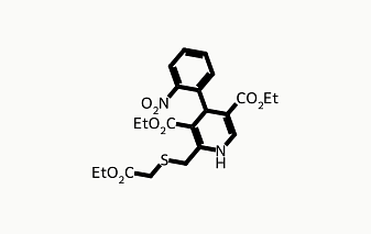 CCOC(=O)CSCC1=C(C(=O)OCC)C(c2ccccc2[N+](=O)[O-])C(C(=O)OCC)=CN1